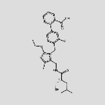 CCOc1nc(C)c(CNC(=O)[C@@H](CS)CC(C)C)n1Cc1ccc(-c2ccccc2C(=O)O)cc1F